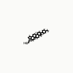 CC1(C)C(C2=CCC(CF)CC2)=CC[C@@]2(C)C1CCC1(C)C3CCC4(NCCO)CCCC4C3CCC12